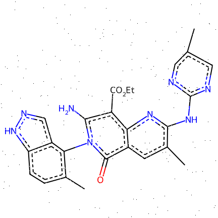 CCOC(=O)c1c(N)n(-c2c(C)ccc3[nH]ncc23)c(=O)c2cc(C)c(Nc3ncc(C)cn3)nc12